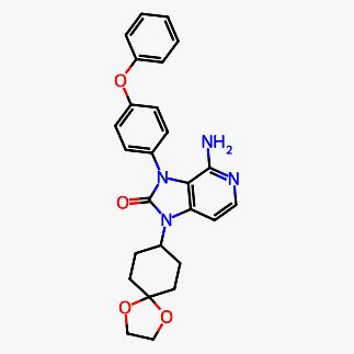 Nc1nccc2c1n(-c1ccc(Oc3ccccc3)cc1)c(=O)n2C1CCC2(CC1)OCCO2